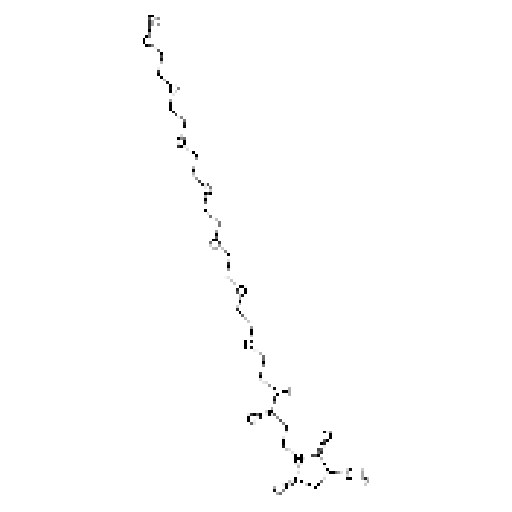 CCOCCOCCOCCOCCOCCOCCOCCNC(=O)CCN1C(=O)CC(C)C1=O